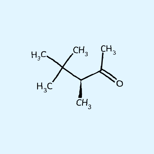 CC(=O)[C@@H](C)C(C)(C)C